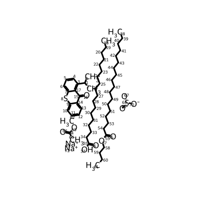 CC(C)c1cccc2sc3ccccc3c(=O)c12.CCCCCCCCCCCCCCCCCC(=O)O.CCCCCCCCCCCCCCCCCC(=O)OCCCC.COC(C)=O.O=S([O-])[O-].[Na+].[Na+]